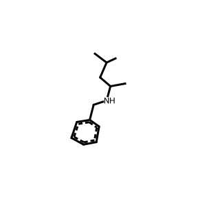 CC(C)CC(C)NCc1ccccc1